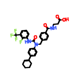 O=C(O)CCNC(=O)c1ccc(CN(C(=O)Nc2cccc(C(F)(F)F)c2F)c2ccc(C3=CCCCC3)cc2)cc1